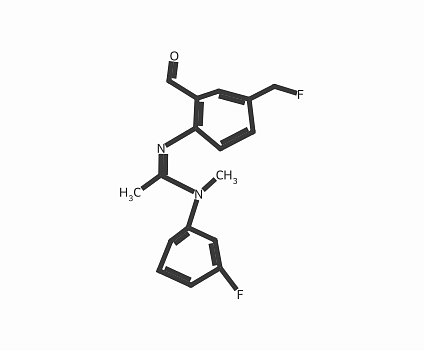 C/C(=N/c1ccc(CF)cc1C=O)N(C)c1cccc(F)c1